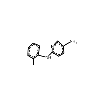 Cc1ccccc1Nc1ccc(N)cn1